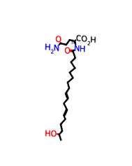 CC(O)CCCC=CCC=CCCCCCCCC(=O)N[C@@H](CCC(N)=O)C(=O)O